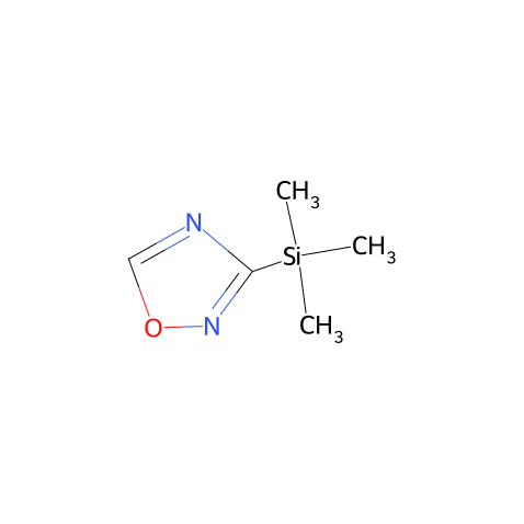 C[Si](C)(C)c1ncon1